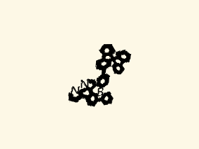 c1ccc2c(c1)B(c1ccc(-c3ccc4c(c3)C3(c5ccccc5-c5ccccc53)c3ccccc3-4)cc1)c1c-2ccc2c3cccnc3c3ncccc3c12